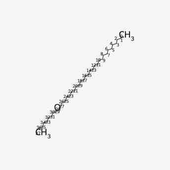 CCCCCCCCCCCCCCCCCCCCCCCCCCCCOCCCCCCCCC